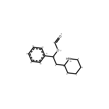 O=COC(CC1CCCCN1)c1ccccc1